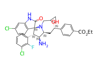 CCOC(=O)c1ccc([C@@H](O)C[C@H]2[C@@H](N)[C@H](c3cccc(Cl)c3F)[C@]3(C(=O)Nc4cc(Cl)ccc43)N2CC2CC2)cc1